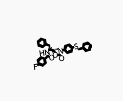 O=C(N[C@@H](Cc1ccccc1)[C@@H]1CN(c2ccc(SCc3ccccc3)cc2)C(=O)O1)c1ccc(F)cc1